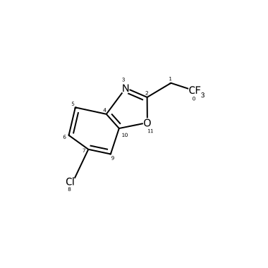 FC(F)(F)Cc1nc2ccc(Cl)cc2o1